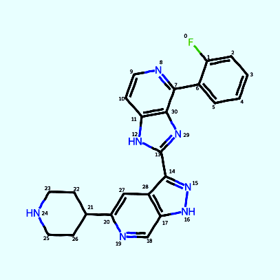 Fc1ccccc1-c1nccc2[nH]c(-c3n[nH]c4cnc(C5CCNCC5)cc34)nc12